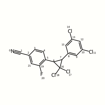 N#Cc1ccc(C2C(c3cc(Cl)cc(Cl)c3)C2(Cl)Cl)c(F)c1